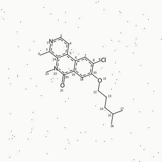 Cc1nccc2c3cc(Cl)c(OCCCC(C)C)cc3c(=O)n(C)c12